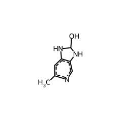 Cc1cc2c(cn1)NC(O)N2